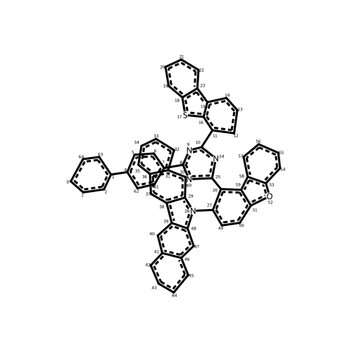 c1ccc(-c2ccc(-c3nc(-c4cccc5c4sc4ccccc45)nc(-c4c(-n5c6cc7ccccc7cc6c6cc7ccccc7cc65)ccc5oc6ccccc6c45)n3)cc2)cc1